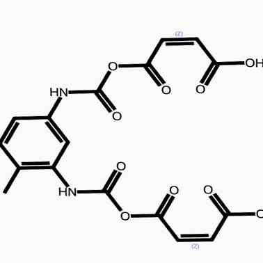 Cc1ccc(NC(=O)OC(=O)/C=C\C(=O)O)cc1NC(=O)OC(=O)/C=C\C(=O)O